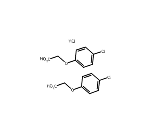 Cl.O=C(O)COc1ccc(Cl)cc1.O=C(O)COc1ccc(Cl)cc1